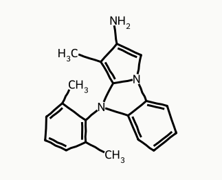 Cc1cccc(C)c1-n1c2ccccc2n2cc(N)c(C)c12